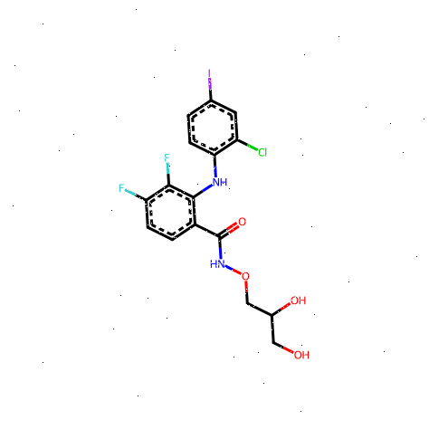 O=C(NOCC(O)CO)c1ccc(F)c(F)c1Nc1ccc(I)cc1Cl